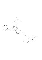 COP(=O)(CCCOc1ccc2c(c1)c(CC(N)=O)cn2Cc1ccccc1)OC